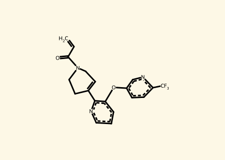 C=CC(=O)N1CC=C(c2ncccc2Oc2ccc(C(F)(F)F)nc2)CC1